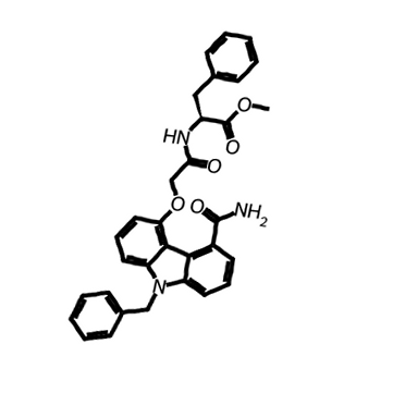 COC(=O)[C@H](Cc1ccccc1)NC(=O)COc1cccc2c1c1c(C(N)=O)cccc1n2Cc1ccccc1